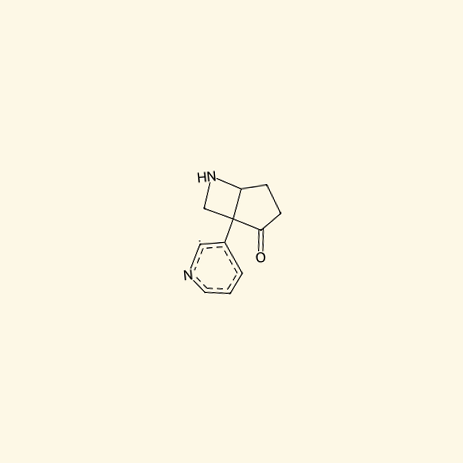 O=C1CCC2NCC12c1[c]nccc1